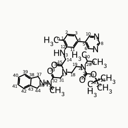 Cc1ccc(-c2cncnc2)cc1NCC(=O)N(CCN(C(=O)OC(C)(C)C)C(C)C)CC(=O)N(C)N1Cc2ccccc2C1